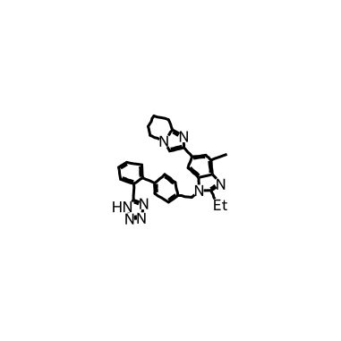 CCc1nc2c(C)cc(-c3cn4c(n3)CCCC4)cc2n1Cc1ccc(-c2ccccc2-c2nnn[nH]2)cc1